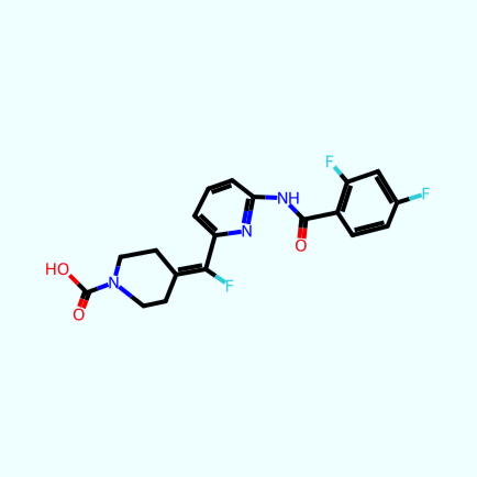 O=C(Nc1cccc(C(F)=C2CCN(C(=O)O)CC2)n1)c1ccc(F)cc1F